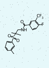 Cc1cccc(S(=O)(=O)C(C)(C)CNC(=O)c2ccc(F)c(C(F)(F)F)c2)c1